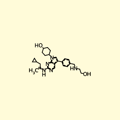 C[C@H](CC1CC1)Nc1ncc2c(-c3ccc(CNCCO)cc3)cn(C3CCC(O)CC3)c2n1